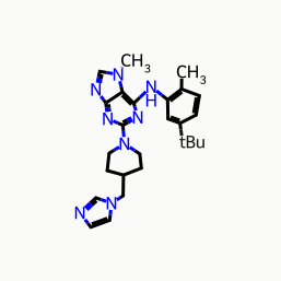 Cc1ccc(C(C)(C)C)cc1Nc1nc(N2CCC(Cn3ccnc3)CC2)nc2ncn(C)c12